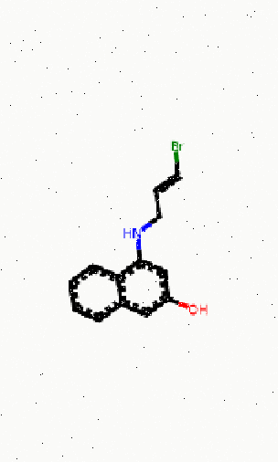 Oc1cc(NCC=CBr)c2ccccc2c1